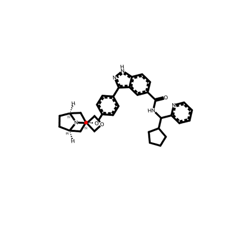 O=C(NC(c1ccccn1)C1CCCC1)c1ccc2[nH]nc(-c3ccc(O[C@@H]4C[C@H]5CC[C@@H](C4)N5C4COC4)cc3)c2c1